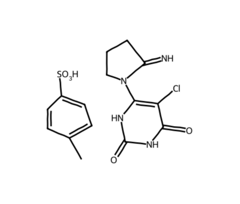 Cc1ccc(S(=O)(=O)O)cc1.N=C1CCCN1c1[nH]c(=O)[nH]c(=O)c1Cl